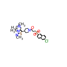 C/N=c1\sc(C2CCN(C(=O)CCS(=O)(=O)c3ccc4cc(Cl)ccc4c3)CC2)c(CN(C)C)n1C